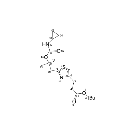 CC(C)(C)OC(=O)CCc1csc(CC(C)(C)OC(=O)NC2CC2)n1